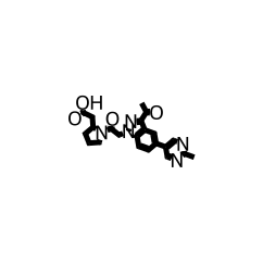 CC(=O)c1nn(CC(=O)N2CCCC2CC(=O)O)c2ccc(-c3cnc(C)nc3)cc12